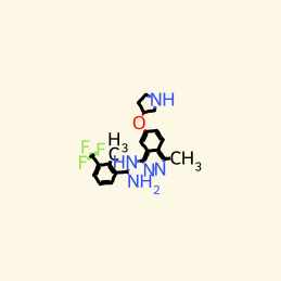 Cc1c([C@@H](N)Nc2nnc(C)c3ccc(O[C@H]4CCNC4)cc23)cccc1C(F)(F)F